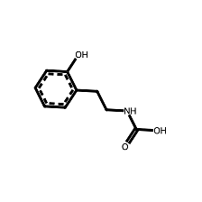 O=C(O)NCCc1ccccc1O